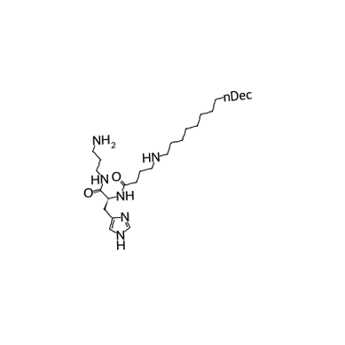 CCCCCCCCCCCCCCCCCCNCCCC(=O)N[C@@H](Cc1c[nH]cn1)C(=O)NCCCN